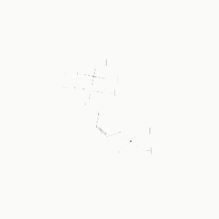 CC(C)(C)C/C=C\CO[Si](C)(C)C(C)(C)C